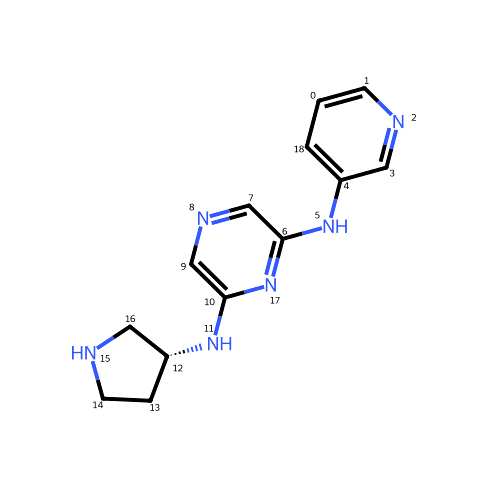 c1cncc(Nc2cncc(N[C@@H]3CCNC3)n2)c1